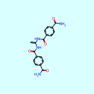 C=C(NC(=O)c1ccc(C(N)=O)cc1)NC(=O)c1ccc(C(N)=O)cc1